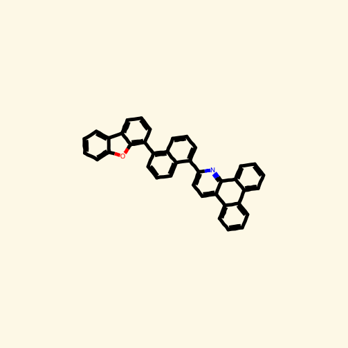 c1ccc2c(c1)oc1c(-c3cccc4c(-c5ccc6c7ccccc7c7ccccc7c6n5)cccc34)cccc12